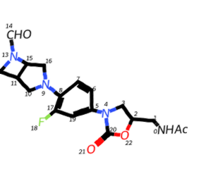 CC(=O)NCC1CN(c2ccc(N3CC4CN(C=O)C4C3)c(F)c2)C(=O)O1